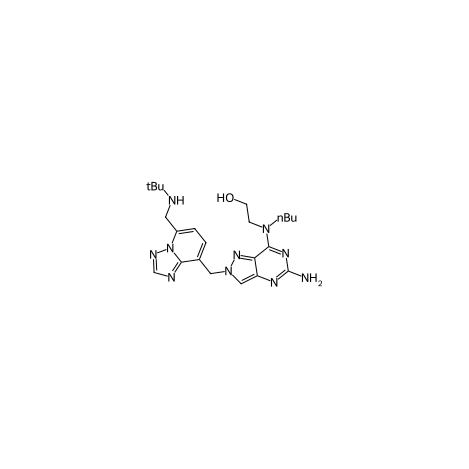 CCCCN(CCO)c1nc(N)nc2cn(Cc3ccc(CNC(C)(C)C)n4ncnc34)nc12